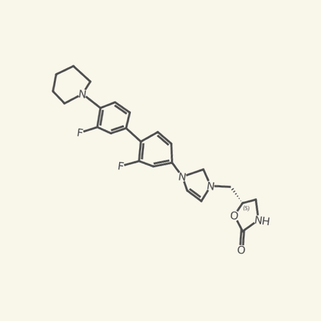 O=C1NC[C@@H](CN2C=CN(c3ccc(-c4ccc(N5CCCCC5)c(F)c4)c(F)c3)C2)O1